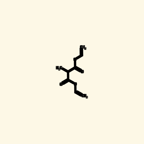 C=COC(=O)C(C)C(=O)OC=C